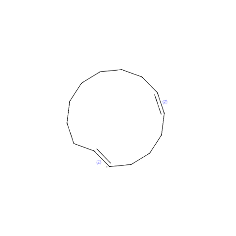 [C]1=C/CCCCCCC/C=C\CCC/1